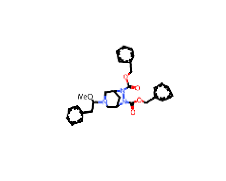 COC(Cc1ccccc1)N1CC2CC(C1)N(C(=O)OCc1ccccc1)N2C(=O)OCc1ccccc1